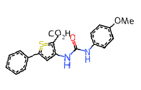 COc1ccc(NC(=O)Nc2cc(-c3ccccc3)sc2C(=O)O)cc1